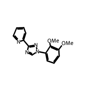 COc1cccc(-n2cnc(-c3ccccn3)n2)c1OC